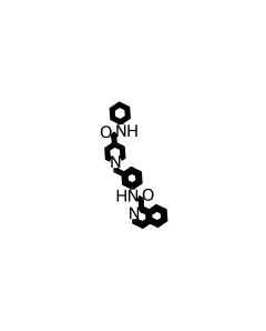 O=C(Nc1cccc(CN2CCC(C(=O)NC3CCCCC3)CC2)c1)c1nccc2ccccc12